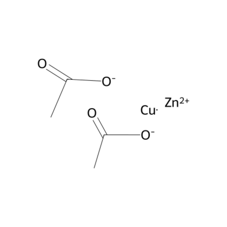 CC(=O)[O-].CC(=O)[O-].[Cu].[Zn+2]